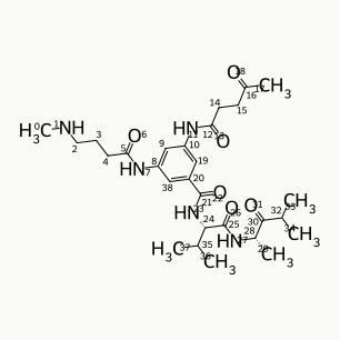 CNCCCC(=O)Nc1cc(NC(=O)CCC(C)=O)cc(C(=O)N[C@H](C(=O)N[C@@H](C)C(=O)C(C)C)C(C)C)c1